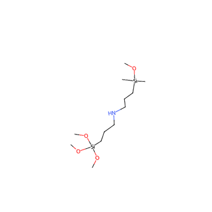 CO[Si](C)(C)CCCNCCC[Si](OC)(OC)OC